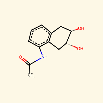 O=C(Nc1cccc2c1C[C@@H](O)[C@@H](O)C2)C(F)(F)F